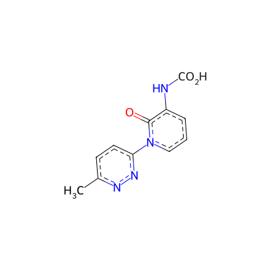 Cc1ccc(-n2cccc(NC(=O)O)c2=O)nn1